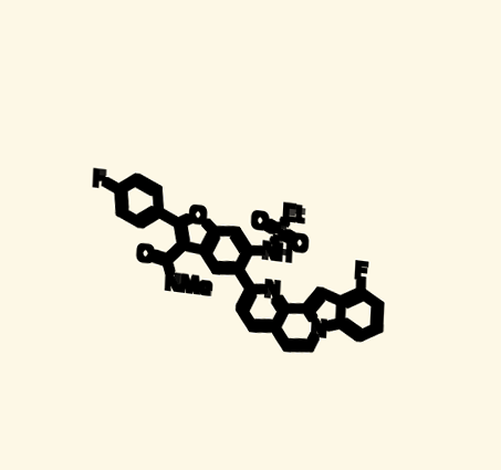 CCS(=O)(=O)Nc1cc2oc(-c3ccc(F)cc3)c(C(=O)NC)c2cc1-c1ccc2ccn3c4cccc(F)c4cc3c2n1